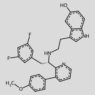 COc1ccc(-c2cccnc2[C@H](Cc2cc(F)cc(F)c2)NCCc2c[nH]c3ccc(O)cc23)cc1